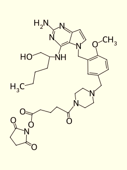 CCCCC(CO)Nc1nc(N)nc2ccn(Cc3cc(CN4CCN(C(=O)CCCC(=O)ON5C(=O)CCC5=O)CC4)ccc3OC)c12